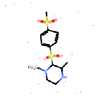 CC1NCCN(C(=O)O)C1S(=O)(=O)c1ccc(S(C)(=O)=O)cc1